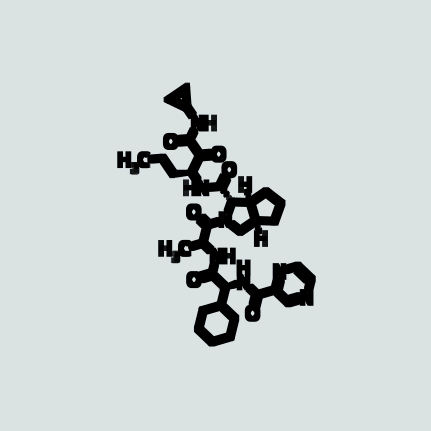 CCC[C@H](NC(=O)[C@@H]1[C@H]2CCC[C@H]2CN1C(=O)C(C)NC(=O)[C@@H](NC(=O)c1cnccn1)C1CCCCC1)C(=O)C(=O)NC1CC1